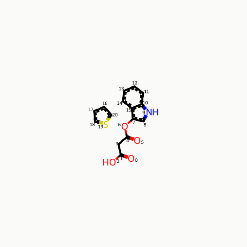 O=C(O)CC(=O)Oc1c[nH]c2ccccc12.c1ccsc1